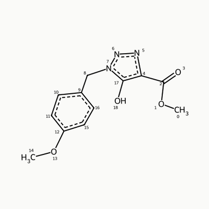 COC(=O)c1nnn(Cc2ccc(OC)cc2)c1O